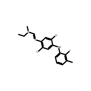 CCN(C)C=Nc1cc(Cl)c(Nc2cccc(C)c2F)cc1Cl